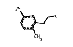 Cc1ccc(C(C)C)cc1CCI